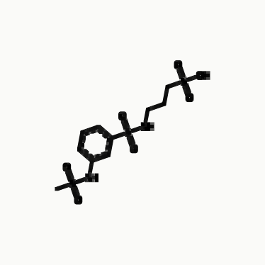 CS(=O)(=O)Nc1cccc(S(=O)(=O)NCCCS(=O)(=O)O)c1